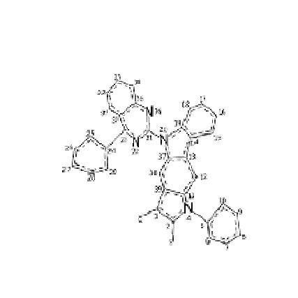 Cc1c(C)n(-c2ccccc2)c2cc3c4ccccc4n(-c4nc(-c5ccccc5)c5ccccc5n4)c3cc12